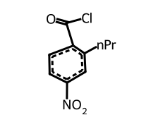 CCCc1cc([N+](=O)[O-])ccc1C(=O)Cl